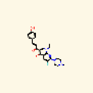 CCn1cc(C(=O)C=Cc2ccc(O)cc2)c(=O)c2cc(F)c(N3CCN(C)CC3)nc21